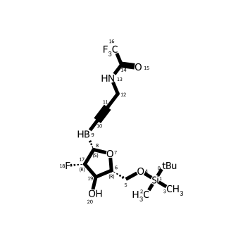 CC(C)(C)[Si](C)(C)OC[C@H]1O[C@@H](BC#CCNC(=O)C(F)(F)F)[C@@H](F)C1O